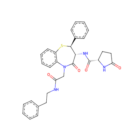 O=C(CN1C(=O)[C@@H](NC(=O)[C@@H]2CCC(=O)N2)[C@H](c2ccccc2)Sc2ccccc21)NCCc1ccccc1